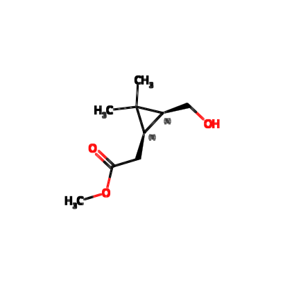 COC(=O)C[C@@H]1[C@H](CO)C1(C)C